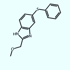 COCc1nc2cc(Sc3ccccc3)ccc2[nH]1